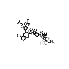 CC(C)(C)OC(=O)CN(c1ccc2c(c1)oc(=O)n2CC(=O)OC(Cc1c(Cl)cncc1Cl)c1ccc(OC(F)F)c(OCC2CC2)c1)[SH](=O)=O